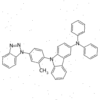 Cc1cc(-n2nnc3ccccc32)ccc1-n1c2ccccc2c2cc(N(c3ccccc3)c3ccccc3)ccc21